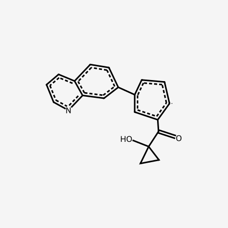 O=C(c1[c]ccc(-c2ccc3cccnc3c2)c1)C1(O)CC1